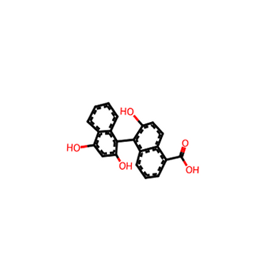 O=C(O)c1cccc2c(-c3c(O)cc(O)c4ccccc34)c(O)ccc12